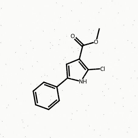 COC(=O)c1cc(-c2ccccc2)[nH]c1Cl